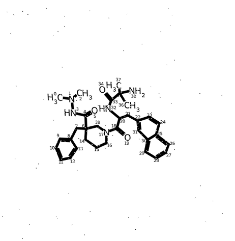 CN(C)NC(=O)C1(Cc2ccccc2)CCCN(C(=O)C(Cc2ccc3ccccc3c2)NC(=O)C(C)(C)N)C1